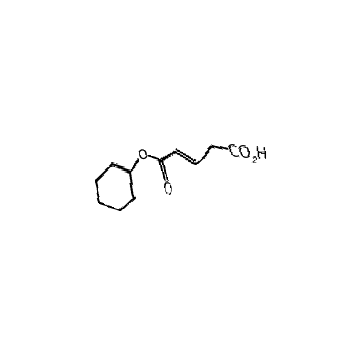 O=C(O)CC=CC(=O)OC1CCCCC1